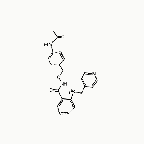 CC(=O)Nc1ccc(CONC(=O)c2ccccc2NCc2ccncc2)cc1